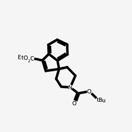 CCOC(=O)C1=CC2(CCN(C(=O)OC(C)(C)C)CC2)c2ccccc21